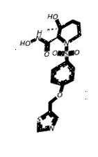 C[C@]1(O)CCCN(S(=O)(=O)c2ccc(OCc3cncs3)cc2)[C@H]1C(=O)NO